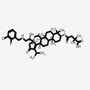 CC(C)C1=C2[C@H]3CCC4[C@@]5(C)CC[C@H](OC(=O)CC(C)(C)C(=O)O)C(C)(C)C5CC[C@@]4(C)[C@]3(C)CC[C@@]2([C@H](O)CNCc2cccc(Cl)c2F)CC1=O